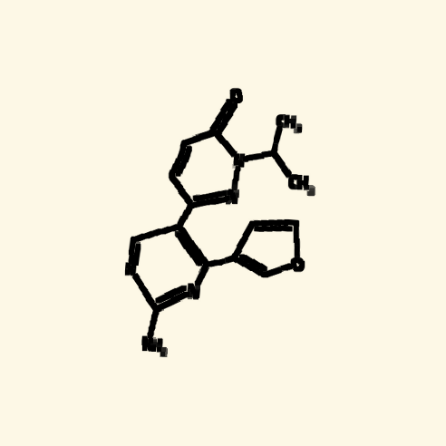 CC(C)n1nc(-c2cnc(N)nc2-c2ccoc2)ccc1=O